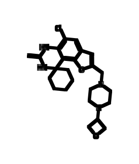 C=C1Nc2c(Cl)cc3cc(CN4CCN(C5COC5)CC4)oc3c2C2(CCCCC2)N1